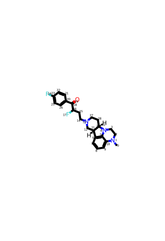 CN1CCN2c3c(cccc31)[C@@H]1CN(CCC(F)C(=O)c3ccc(F)cc3)CC[C@@H]12